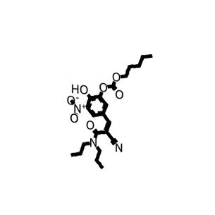 CCCCCOC(=O)Oc1cc(C=C(C#N)C(=O)N(CCC)CCC)cc([N+](=O)[O-])c1O